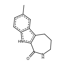 Cc1ccc2[nH]c3c(c2c1)CCCNC3=O